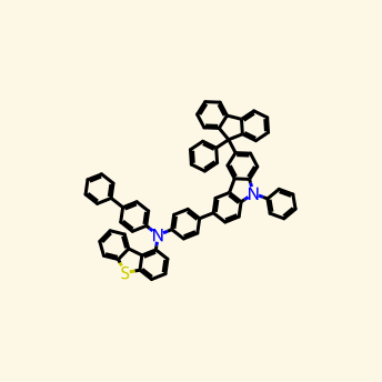 c1ccc(-c2ccc(N(c3ccc(-c4ccc5c(c4)c4cc(C6(c7ccccc7)c7ccccc7-c7ccccc76)ccc4n5-c4ccccc4)cc3)c3cccc4sc5ccccc5c34)cc2)cc1